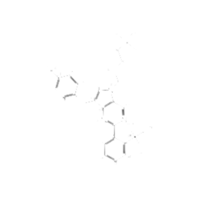 C[Si](C)(C)CCOCn1cc(Sc2ccc(Cl)cc2)c2nc(-c3ccccc3C(F)(F)F)ncc21